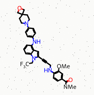 CNC(=O)c1ccc(NCC#Cc2cc3c(Nc4ccc(N5CCC6(CC5)COC6)cc4)cccc3n2CC(F)(F)F)c(OC)c1